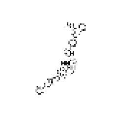 CC(C)C[C@H](NC(=O)OCN1CCC(c2cc[nH]n2)CC1)C(=O)NNC(=O)c1csc(-c2ccc(OCc3ccccc3C(=O)OC(C)(C)C)cc2)n1